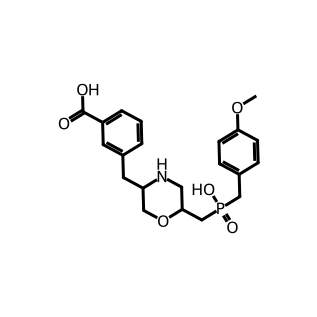 COc1ccc(CP(=O)(O)CC2CNC(Cc3cccc(C(=O)O)c3)CO2)cc1